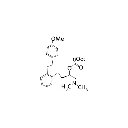 CCCCCCCCC(=O)O[C@H](CCc1ccccc1CCc1ccc(OC)cc1)CN(C)C